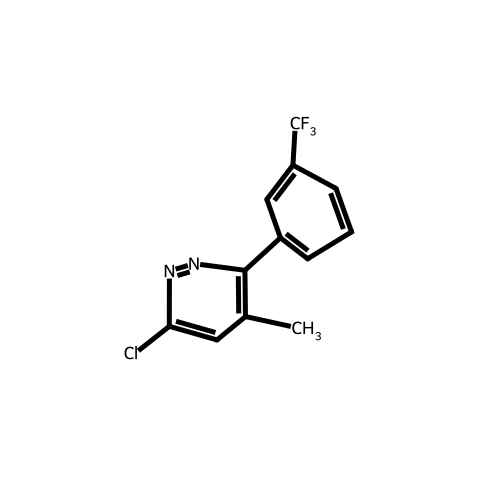 Cc1cc(Cl)nnc1-c1cccc(C(F)(F)F)c1